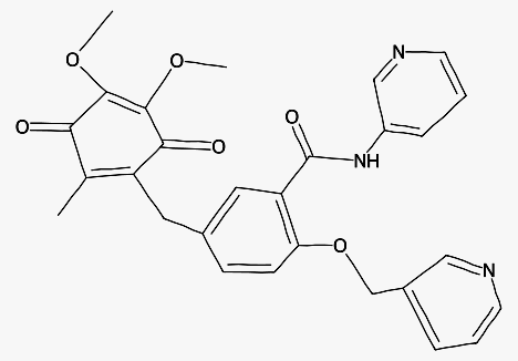 COC1=C(OC)C(=O)C(Cc2ccc(OCc3cccnc3)c(C(=O)Nc3cccnc3)c2)=C(C)C1=O